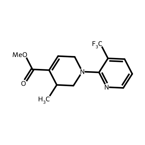 COC(=O)C1=CCN(c2ncccc2C(F)(F)F)CC1C